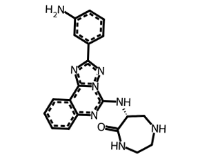 Nc1cccc(-c2nc3c4ccccc4nc(N[C@@H]4CNCCNC4=O)n3n2)c1